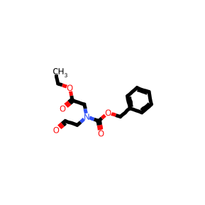 CCOC(=O)CN(CC=O)C(=O)OCc1ccccc1